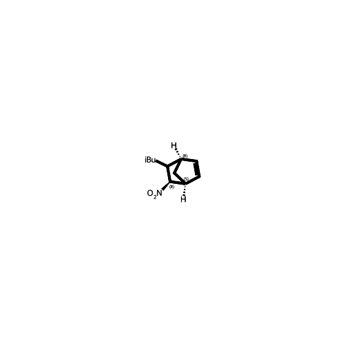 CCC(C)C1[C@H]2C=C[C@H](C2)[C@H]1[N+](=O)[O-]